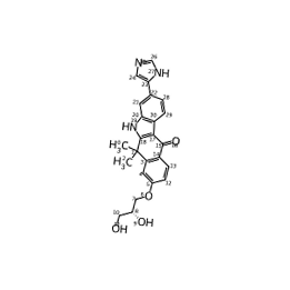 CC1(C)c2cc(OC[C@H](O)CO)ccc2C(=O)c2c1[nH]c1cc(-c3cnc[nH]3)ccc21